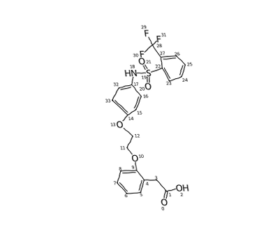 O=C(O)Cc1ccccc1OCCOc1ccc(NS(=O)(=O)c2ccccc2C(F)(F)F)cc1